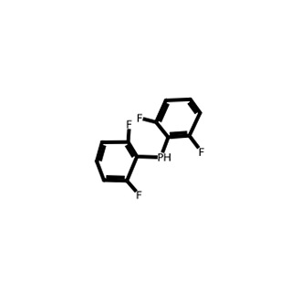 Fc1cccc(F)c1Pc1c(F)cccc1F